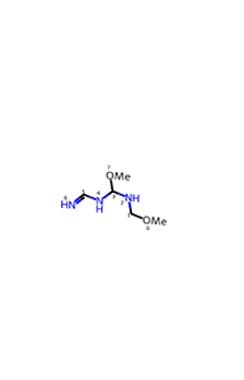 COCNC(NC=N)OC